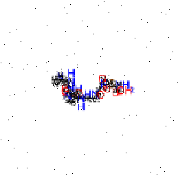 CN[C@H](C(=O)N[C@H](C(=O)N(C)[C@H](/C=C(\C)C(=O)NCCCC[C@H](C)NC(=O)CCCN1C(=O)CC(SC[C@H](N)C(=O)O)C1=O)C(C)C)C(C)(C)C)C(C)(C)c1cn(C)c2ccccc12